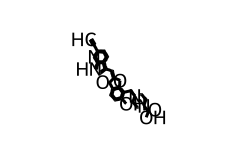 C#Cc1ccc2c(C=C3Oc4c(ccc(O)c4CN4CCN(C(=O)O)CC4)C3=O)c[nH]c2n1